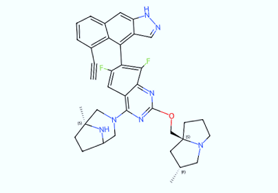 C#Cc1cccc2cc3[nH]ncc3c(-c3c(F)cc4c(N5CC6CC[C@@](C)(C5)N6)nc(OC[C@@]56CCCN5C[C@H](C)C6)nc4c3F)c12